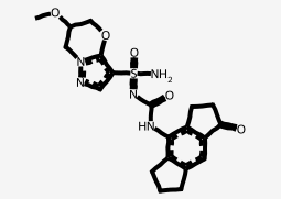 COC1COc2c(S(N)(=O)=NC(=O)Nc3c4c(cc5c3CCC5=O)CCC4)cnn2C1